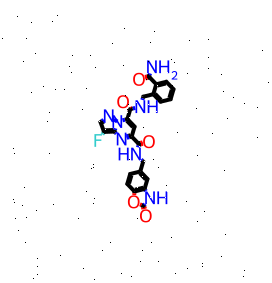 NC(=O)c1ccccc1CNC(=O)c1cc(C(=O)NCc2ccc3oc(=O)[nH]c3c2)nc2c(F)cnn12